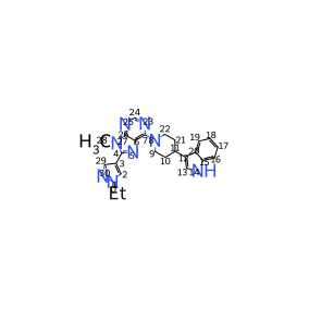 CCn1cc(-c2nc3c(N4CCC(c5c[nH]c6ccccc56)CC4)ncnc3n2C)cn1